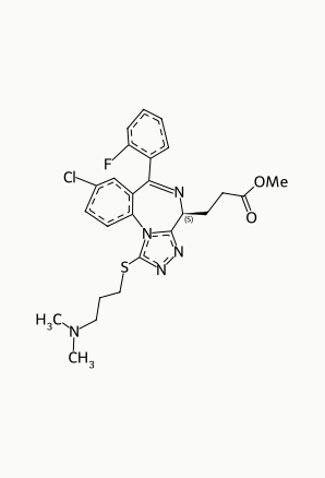 COC(=O)CC[C@@H]1N=C(c2ccccc2F)c2cc(Cl)ccc2-n2c(SCCCN(C)C)nnc21